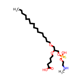 CCCCCCCCCCCCCCCCOCC(COP(O)(=S)OCCNC)OCCCCC(=O)O